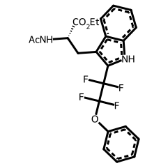 CCOC(=O)[C@H](Cc1c(C(F)(F)C(F)(F)Oc2ccccc2)[nH]c2ccccc12)NC(C)=O